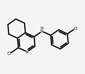 Clc1cccc(Nc2cnc(Cl)c3c2CCCC3)c1